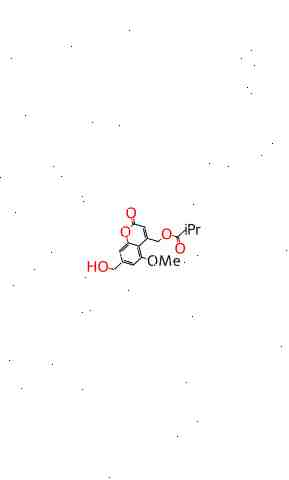 COc1cc(CO)cc2oc(=O)cc(COC(=O)C(C)C)c12